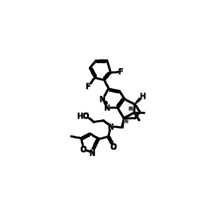 Cc1cc(C(=O)N(CCO)C[C@@]23CC[C@@H](c4cc(-c5c(F)cccc5F)nnc42)C3(C)C)no1